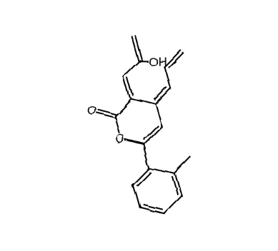 C=C/C=c1/cc(-c2ccccc2C)oc(=O)/c1=C/C(=C)O